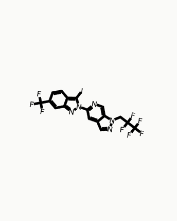 FC(F)(F)c1ccc2c(I)n(-c3cc4cnn(CC(F)(F)C(F)(F)F)c4cn3)nc2c1